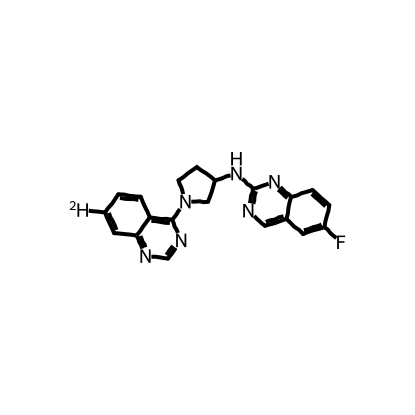 [2H]c1ccc2c(N3CCC(Nc4ncc5cc(F)ccc5n4)C3)ncnc2c1